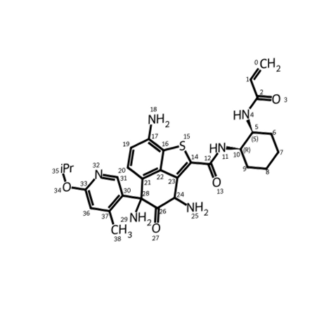 C=CC(=O)N[C@H]1CCCC[C@H]1NC(=O)c1sc2c(N)ccc3c2c1C(N)C(=O)C3(N)c1cnc(OC(C)C)cc1C